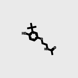 CC(=O)NCCOc1ccc(O)c(C(C)(C)C)c1